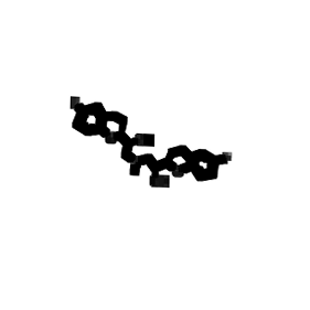 CN(C[C@H](O)[C@@H]1CCc2cc(F)ccc2O1)C[C@H](O)[C@H]1CCc2cc(F)ccc2O1